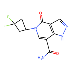 NC(=O)c1cn(C2CC(F)(F)C2)c(=O)c2cn[nH]c12